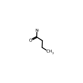 CCCC([N])=O